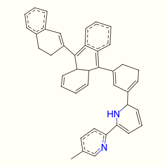 Cc1ccc(C2=CC=CC(C3=CCCC(C4=c5ccccc5=C(C5=Cc6ccccc6CC5)C5C=CC=CC45)=C3)N2)nc1